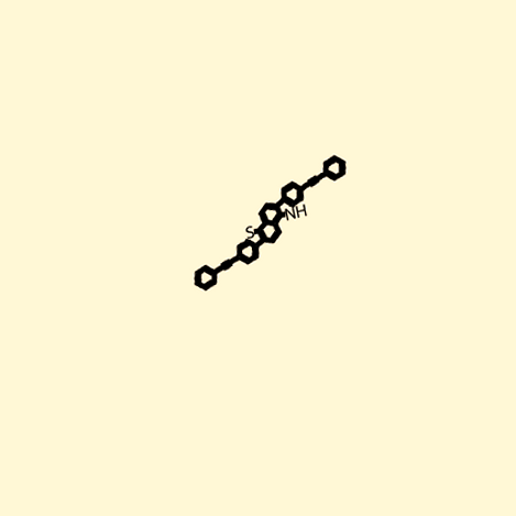 C(#Cc1ccc2c(c1)[nH]c1c2ccc2c1ccc1c3ccc(C#Cc4ccccc4)cc3sc12)c1ccccc1